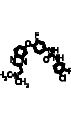 CN(C)Cc1cnc2ccc(Oc3ccc(NC(=O)Nc4ccc(Cl)c(F)c4)cc3F)cc2n1